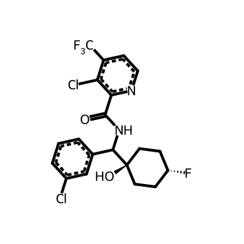 O=C(NC(c1cccc(Cl)c1)[C@]1(O)CC[C@H](F)CC1)c1nccc(C(F)(F)F)c1Cl